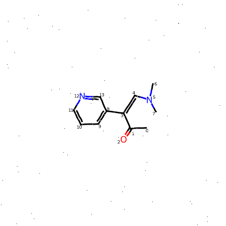 CC(=O)/C(=C\N(C)C)c1cccnc1